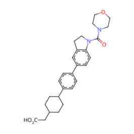 O=C(O)CC1CCC(c2ccc(-c3ccc4c(c3)CCN4C(=O)N3CCOCC3)cc2)CC1